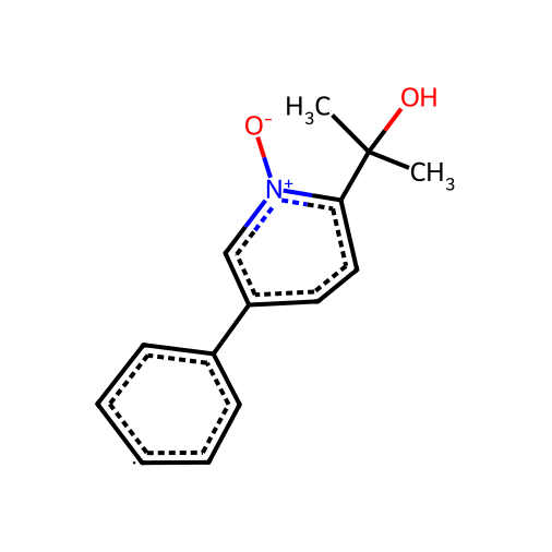 CC(C)(O)c1ccc(-c2cc[c]cc2)c[n+]1[O-]